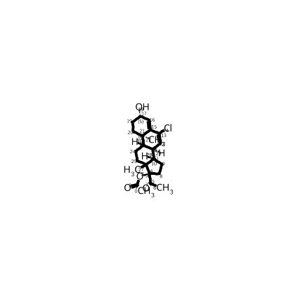 CC(=O)O[C@]1(C(C)=O)CC[C@H]2[C@@H]3C=C(Cl)C4=C[C@@H](O)CC[C@]4(C)[C@H]3CCC21C